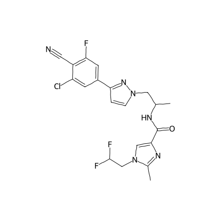 Cc1nc(C(=O)NC(C)Cn2ccc(-c3cc(F)c(C#N)c(Cl)c3)n2)cn1CC(F)F